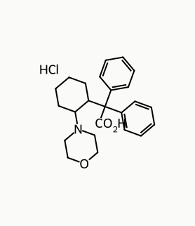 Cl.O=C(O)C(c1ccccc1)(c1ccccc1)C1CCCCC1N1CCOCC1